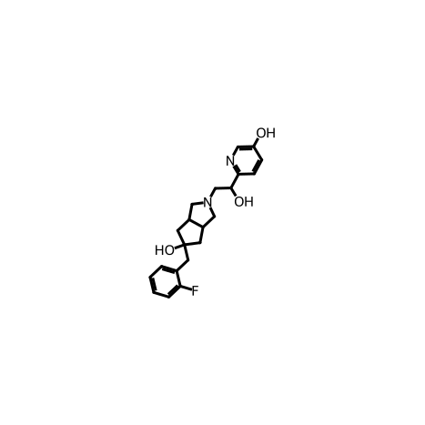 Oc1ccc(C(O)CN2CC3CC(O)(Cc4ccccc4F)CC3C2)nc1